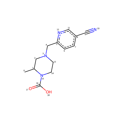 CC1CN(Cc2ccc(C#N)cn2)CCN1C(=O)O